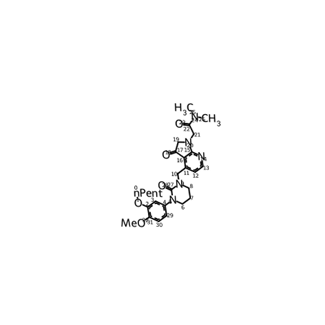 CCCCCOc1cc(N2CCCN(Cc3ccnc4c3C(=O)CN4CC(=O)N(C)C)C2=O)ccc1OC